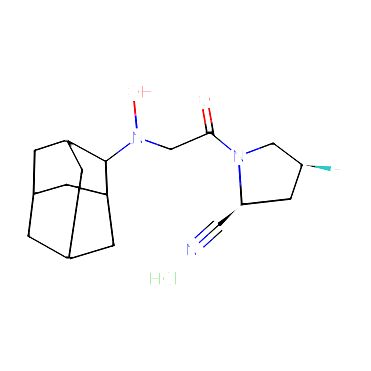 Cl.N#C[C@@H]1C[C@H](F)CN1C(=O)CN(O)C1C2CC3CC(C2)CC1C3